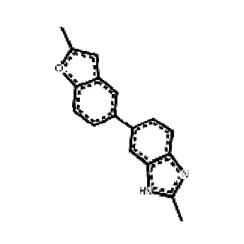 Cc1nc2ccc(-c3ccc4oc(C)cc4c3)cc2[nH]1